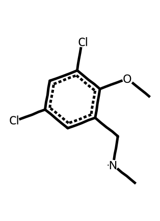 C[N]Cc1cc(Cl)cc(Cl)c1OC